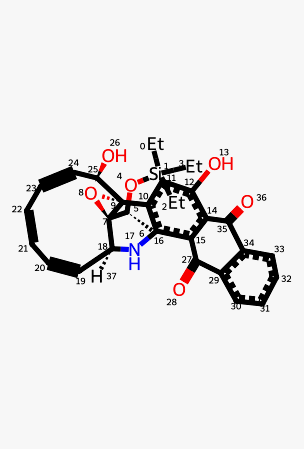 CC[Si](CC)(CC)O[C@H](C)[C@@]12O[C@]13c1cc(O)c4c(c1N[C@H]2C#C/C=C\C#C[C@H]3O)C(=O)c1ccccc1C4=O